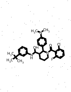 CN(C)c1ccc(C2C(C(O)Nc3cccc(C(C)(C)C)c3)CCCN2C(=O)c2c(F)cccc2Cl)cc1